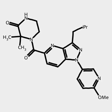 COc1ccc(-n2nc(CC(C)C)c3nc(C(=O)N4CCNC(=O)C4(C)C)ccc32)cn1